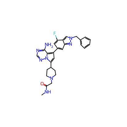 CNC(=O)CN1CCC(c2cc(-c3cc(F)c4cn(Cc5ccccc5)nc4c3)c3c(N)ncnn23)CC1